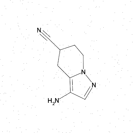 N#CC1CCn2ncc(N)c2C1